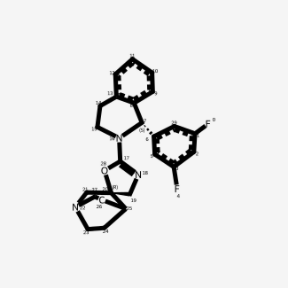 Fc1cc(F)cc([C@H]2c3ccccc3CCN2C2=NC[C@@]3(CN4CCC3CC4)O2)c1